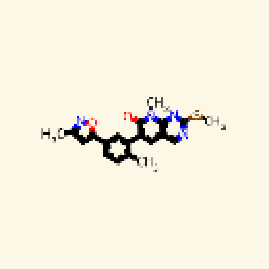 CSc1ncc2cc(-c3cc(-c4cc(C)no4)ccc3C)c(=O)n(C)c2n1